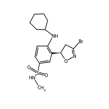 CNS(=O)(=O)c1ccc(NC2CCCCC2)c([C@H]2CC(Br)=NO2)c1